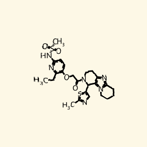 CCc1nc(NS(C)(=O)=O)ccc1OCC(=O)N1CCc2nc3n(c2C1c1cnc(C)s1)CCCC3